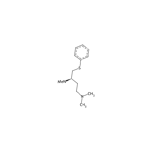 CN[C@H](CCN(C)C)CSc1ccccc1